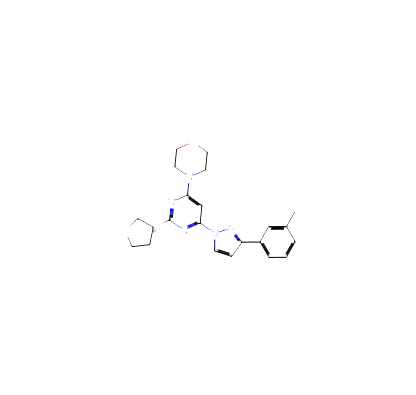 Cc1cccc(-c2ccn(-c3cc(N4CCOCC4)nc([C@H]4CCOC4)n3)n2)c1